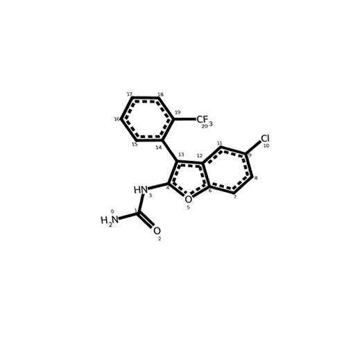 NC(=O)Nc1oc2ccc(Cl)cc2c1-c1ccccc1C(F)(F)F